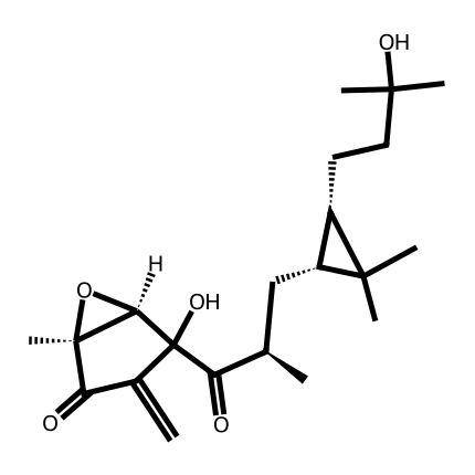 C=C1C(=O)[C@@]2(C)O[C@H]2C1(O)C(=O)[C@H](C)C[C@@H]1[C@H](CCC(C)(C)O)C1(C)C